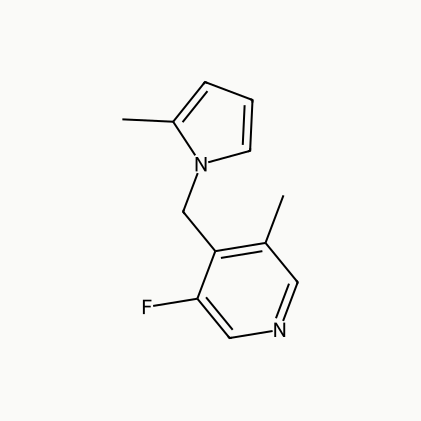 Cc1cncc(F)c1Cn1cccc1C